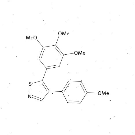 COc1ccc(-c2cnsc2-c2cc(OC)c(OC)c(OC)c2)cc1